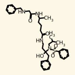 CC(C)CN(C(O)(CCNC(=O)CCCC(C)NC(=O)CNCc1ccccc1)Cc1ccccc1)S(=O)(=O)c1ccccc1